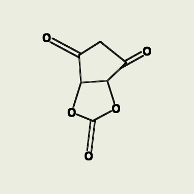 O=C1OC2C(=O)CC(=O)C2O1